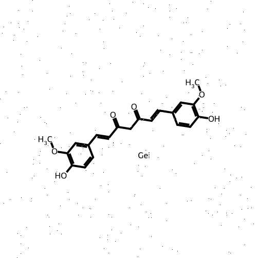 COc1cc(/C=C/C(=O)CC(=O)/C=C/c2ccc(O)c(OC)c2)ccc1O.[Ge]